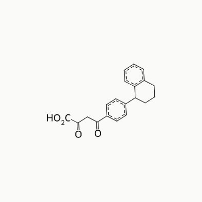 O=C(O)C(=O)CC(=O)c1ccc(C2CCCc3ccccc32)cc1